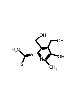 Cc1ncc(CO)c(CO)c1O.NC(=S)S